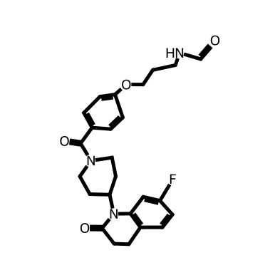 O=CNCCCOc1ccc(C(=O)N2CCC(N3C(=O)CCc4ccc(F)cc43)CC2)cc1